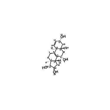 C[C@]12CCC3=C([C@@H](O)C[C@H]4C[C@@H](O)C=C[C@]34C)[C@@H]1C[C@@H](O)[C@@H]2O